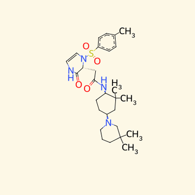 Cc1ccc(S(=O)(=O)N2C=CNC(=O)[C@H]2CC(=O)N[C@@H]2CC[C@H](N3CCCC(C)(C)C3)CC2(C)C)cc1